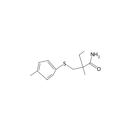 CCC(C)(CSc1ccc(C)cc1)C(N)=O